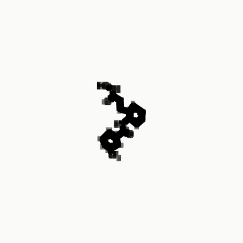 O=C(/C=C/c1ccccc1NC(=O)c1cccc(C(F)(F)F)c1)NO